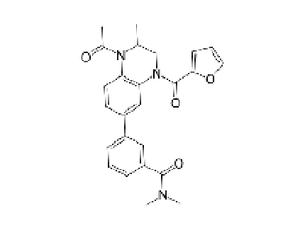 CC(=O)N1c2ccc(-c3cccc(C(=O)N(C)C)c3)cc2N(C(=O)c2ccco2)CC1C